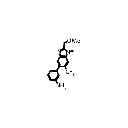 COCc1nc2cc(-c3cccc(N)c3)c(C(F)(F)F)cc2n1C